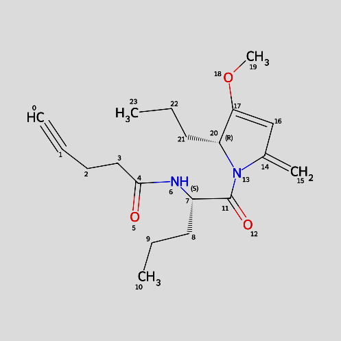 C#CCCC(=O)N[C@@H](CCC)C(=O)N1C(=C)C=C(OC)[C@H]1CCC